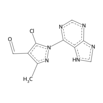 Cc1nn(-c2ncnc3nc[nH]c23)c(Cl)c1C=O